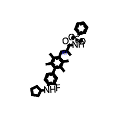 C/C(=C\c1c(C)c(C)c(-c2ccc(NC3CCCC3)c(F)c2)c(C)c1C)C(=O)NS(=O)(=O)c1ccccc1